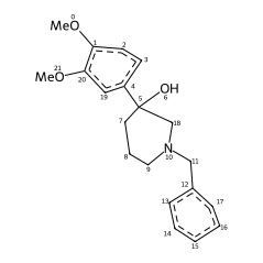 COc1ccc(C2(O)CCCN(Cc3ccccc3)C2)cc1OC